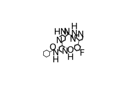 O=C(Nc1cncc(-c2cc3c(-c4nc5c(-c6cc(O)cc(F)c6)ccnc5[nH]4)n[nH]c3cn2)c1)C1CCCCC1